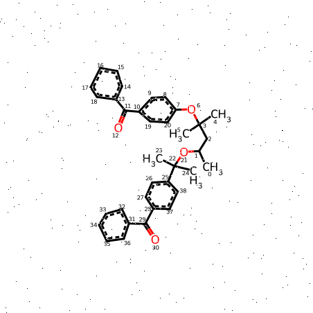 CC(CC(C)(C)Oc1ccc(C(=O)c2ccccc2)cc1)OC(C)(C)c1ccc(C(=O)c2ccccc2)cc1